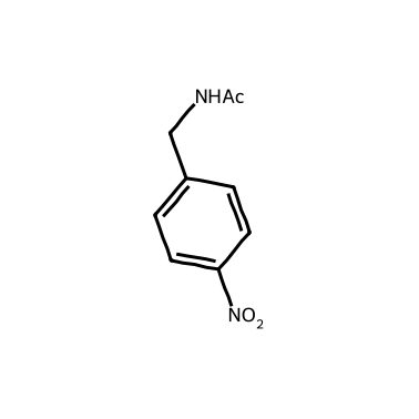 CC(=O)NCc1ccc([N+](=O)[O-])cc1